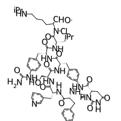 CC(C)C[C@H](NC(=O)[C@@H](Cc1ccc(NC(N)=O)cc1)NC(=O)[C@H](Cc1ccc(NC(=O)[C@@H]2CC(=O)NC(=O)N2)cc1)NC(=O)[C@H](CO)NC(=O)[C@@H](Cc1cccnc1)NC(=O)[C@H](N)Cc1ccccc1)C(=O)N(Cl)[C@H]([C]=O)CCCCNC(C)C